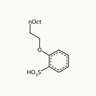 CCCCCCCCCCOc1ccccc1S(=O)(=O)O